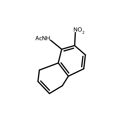 CC(=O)Nc1c([N+](=O)[O-])ccc2c1CC=CC2